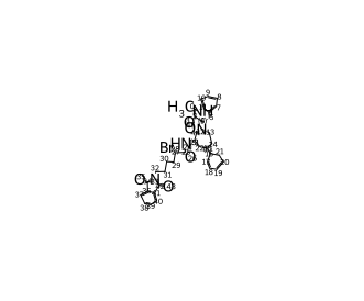 CNC(=O)[C@H](Cc1ccccc1)N1CC[C@@H](C2C=CC=CC2)C[C@H](NC(=O)C(Br)CCCCN2C(=O)c3ccccc3C2=O)C1=O